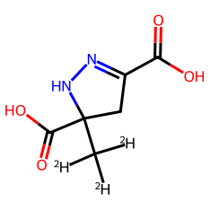 [2H]C([2H])([2H])C1(C(=O)O)CC(C(=O)O)=NN1